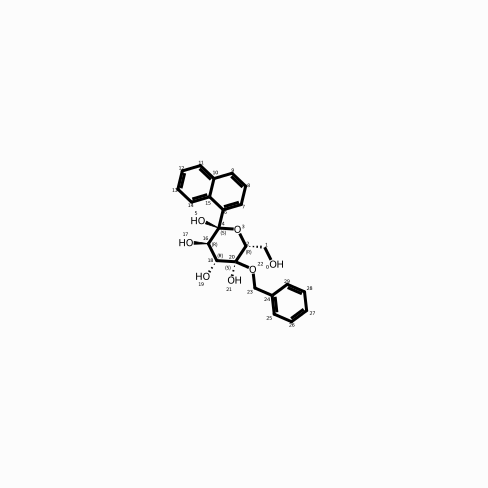 OC[C@H]1O[C@@](O)(c2cccc3ccccc23)[C@H](O)[C@@H](O)[C@]1(O)OCc1ccccc1